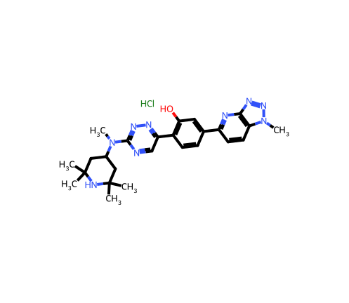 CN(c1ncc(-c2ccc(-c3ccc4c(nnn4C)n3)cc2O)nn1)C1CC(C)(C)NC(C)(C)C1.Cl